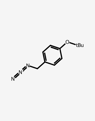 CC(C)(C)Oc1ccc(CN=[N+]=[N-])cc1